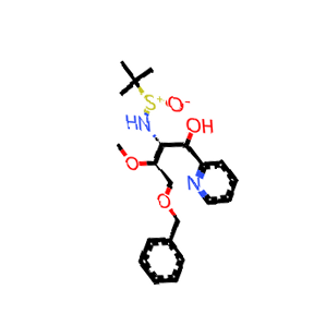 CO[C@H](COCc1ccccc1)[C@H](N[S@+]([O-])C(C)(C)C)C(O)c1ccccn1